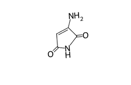 NC1=CC(=O)NC1=O